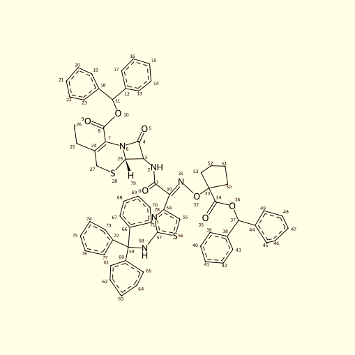 O=C(NC1C(=O)N2C(C(=O)OC(c3ccccc3)c3ccccc3)=C(CI)CS[C@@H]12)C(=NOC1(C(=O)OC(c2ccccc2)c2ccccc2)CCCC1)c1csc(NC(c2ccccc2)(c2ccccc2)c2ccccc2)n1